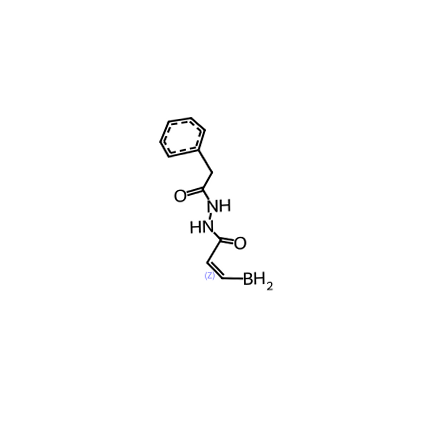 B/C=C\C(=O)NNC(=O)Cc1ccccc1